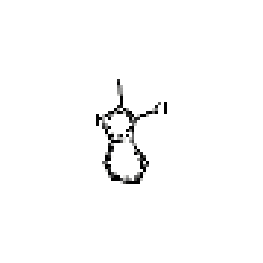 Cc1nc2ccccn2c1Cl